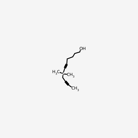 CC#CCS(C)(C)C#CCCCCO